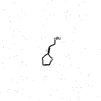 CCCCC/C=C1/CCCS1